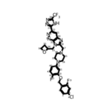 Fc1cc(Cl)ccc1COc1cc(N2CCN(Cc3nc4cc(-c5nnc(C(F)(F)F)[nH]5)nnc4n3CC3CCO3)CC2)ccc1F